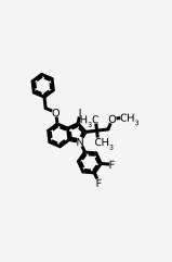 COCC(C)(C)c1c(I)c2c(OCc3ccccc3)cccc2n1-c1ccc(F)c(F)c1